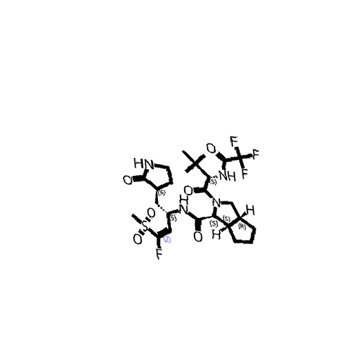 CC(C)(C)[C@H](NC(=O)C(F)(F)F)C(=O)N1C[C@@H]2CCC[C@@H]2[C@H]1C(=O)N[C@H](/C=C(/F)S(C)(=O)=O)C[C@@H]1CCNC1=O